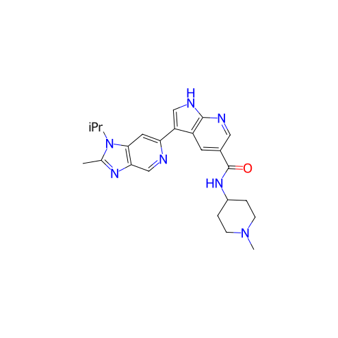 Cc1nc2cnc(-c3c[nH]c4ncc(C(=O)NC5CCN(C)CC5)cc34)cc2n1C(C)C